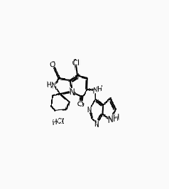 Cl.O=C1NC2(CCCCC2)n2c1c(Cl)cc(Nc1ncnc3[nH]ccc13)c2=O